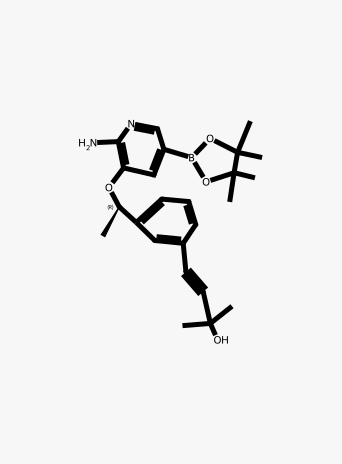 C[C@@H](Oc1cc(B2OC(C)(C)C(C)(C)O2)cnc1N)c1cccc(C#CC(C)(C)O)c1